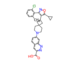 Cc1cccc(Cl)c1-c1noc(C2CC2)c1C1=CC2(CCN(c3ccc4cc(C(=O)O)nnc4c3)CC2)C1